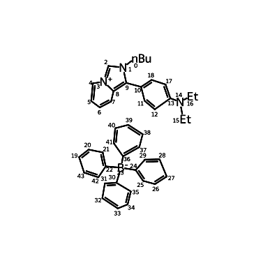 CCCCn1c[n+]2ccccc2c1-c1ccc(N(CC)CC)cc1.c1ccc([B-](c2ccccc2)(c2ccccc2)c2ccccc2)cc1